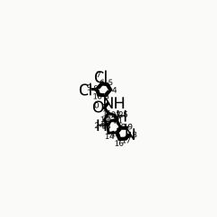 O=C(Nc1ccc(Cl)c(Cl)c1)C1C[C@@H]2Cc3ccncc3[C@H](C1)C2